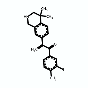 C=C(C(=O)c1ccc(C)c(I)c1)c1ccc2c(c1)CNCC2(C)C